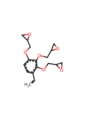 C=Cc1ccc(OCC2CO2)c(OCC2CO2)c1OCC1CO1